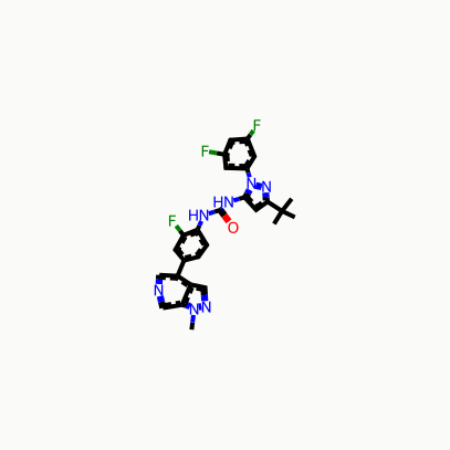 Cn1ncc2c(-c3ccc(NC(=O)Nc4cc(C(C)(C)C)nn4-c4cc(F)cc(F)c4)c(F)c3)cncc21